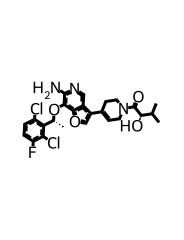 CC(C)[C@H](O)C(=O)N1CC=C(c2coc3c(O[C@H](C)c4c(Cl)ccc(F)c4Cl)c(N)ncc23)CC1